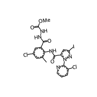 COC(=O)NNC(=O)c1cc(Cl)cc(C)c1NC(=O)c1cc(I)nn1-c1ncccc1Cl